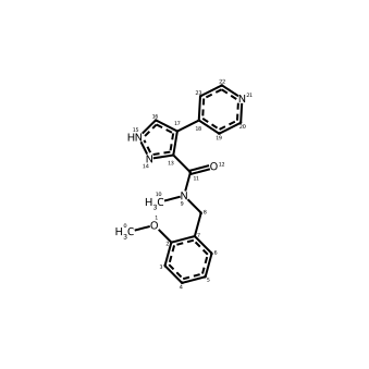 COc1ccccc1CN(C)C(=O)c1n[nH]cc1-c1ccncc1